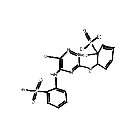 CCP(=O)(CC)C1(OC)C=CC=CC1Nc1nnc(Cl)c(Nc2ccccc2S(=O)(=O)C(C)C)n1